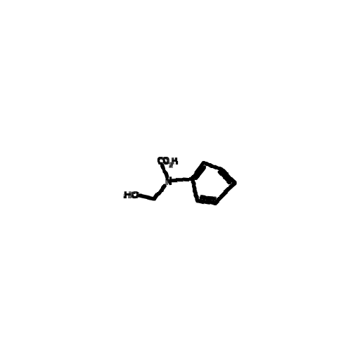 O=C(O)N(CO)c1ccccc1